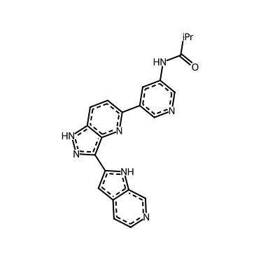 CC(C)C(=O)Nc1cncc(-c2ccc3[nH]nc(-c4cc5ccncc5[nH]4)c3n2)c1